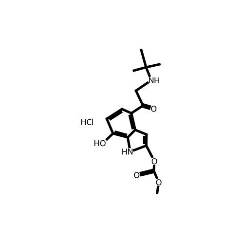 COC(=O)Oc1cc2c(C(=O)CNC(C)(C)C)ccc(O)c2[nH]1.Cl